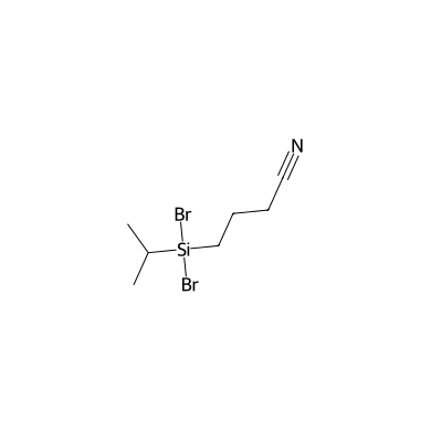 CC(C)[Si](Br)(Br)CCCC#N